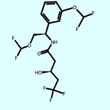 O=C(C[C@H](O)CC(F)(F)F)N[C@@H](COC(F)F)c1cccc(OC(F)F)c1